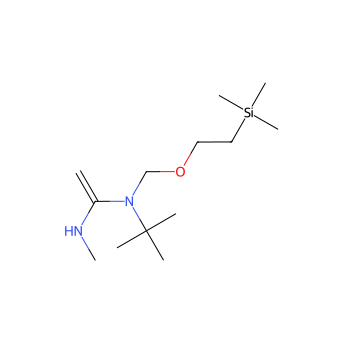 C=C(NC)N(COCC[Si](C)(C)C)C(C)(C)C